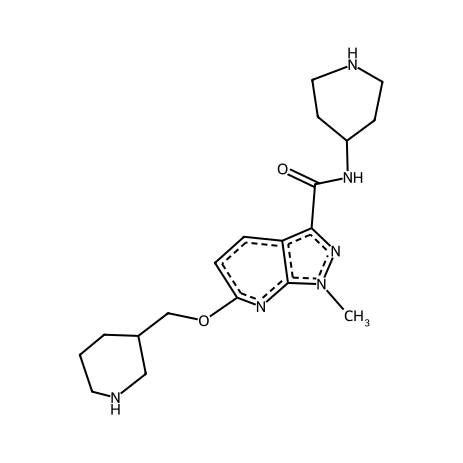 Cn1nc(C(=O)NC2CCNCC2)c2ccc(OCC3CCCNC3)nc21